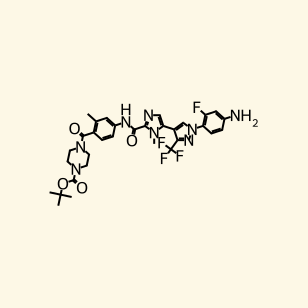 Cc1cc(NC(=O)c2ncc(-c3cn(-c4ccc(N)cc4F)nc3C(F)(F)F)n2C)ccc1C(=O)N1CCN(C(=O)OC(C)(C)C)CC1